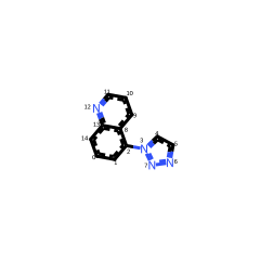 c1cc(-n2ccnn2)c2cccnc2c1